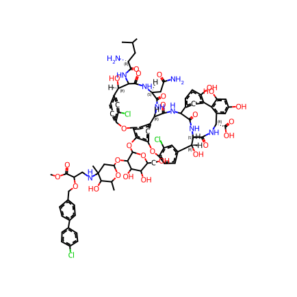 COC(=O)C(CNC1(C)CC(OC2C(Oc3c4cc5cc3Oc3ccc(cc3Cl)[C@@H](O)[C@@H]3NC(=O)C(NC(=O)[C@@H]5NC(=O)[C@H](CC(N)=O)NC(=O)C(NC(=O)[C@H](N)CC(C)C)[C@H](O)c5ccc(c(Cl)c5)O4)c4ccc(O)c(c4)-c4c(O)cc(O)cc4[C@H](C(=O)O)NC3=O)OC(CO)C(O)C2O)OC(C)C1O)OCc1ccc(-c2ccc(Cl)cc2)cc1